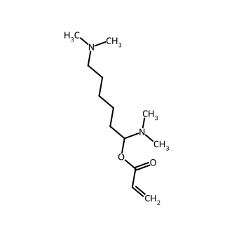 C=CC(=O)OC(CCCCCN(C)C)N(C)C